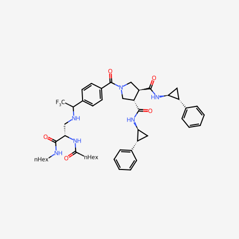 CCCCCCNC(=O)[C@H](CNC(c1ccc(C(=O)N2C[C@@H](C(=O)N[C@H]3C[C@@H]3c3ccccc3)[C@H](C(=O)N[C@H]3C[C@@H]3c3ccccc3)C2)cc1)C(F)(F)F)NC(=O)CCCCCC